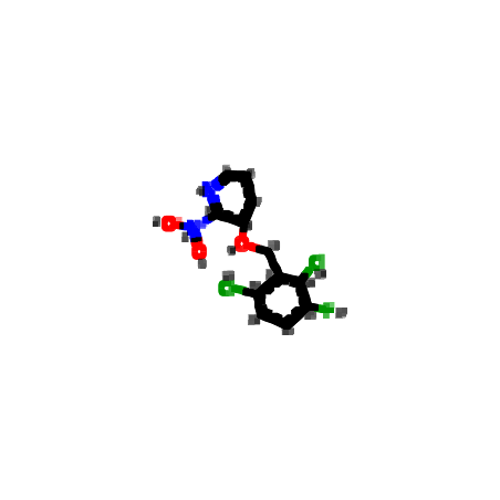 O=[N+]([O-])c1ncccc1OCc1c(Cl)ccc(F)c1Cl